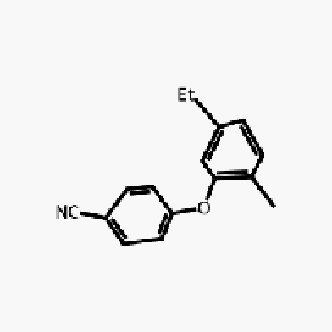 CCc1ccc(C)c(Oc2ccc(C#N)cc2)c1